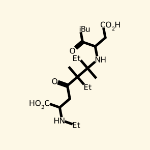 CCNC(CC(=O)C(C)(CC)C(C)(CC)NC(CC(=O)O)C(=O)C(C)CC)C(=O)O